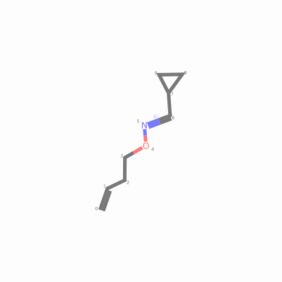 C=CCCO/N=[C]/C1CC1